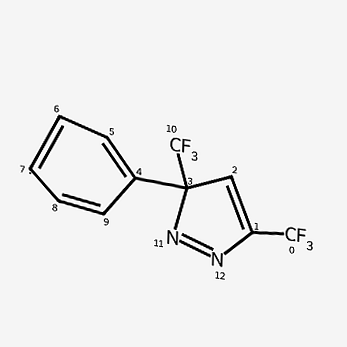 FC(F)(F)C1=CC(c2cc[c]cc2)(C(F)(F)F)N=N1